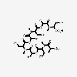 CCCCC(C)C(=O)N(C)C(CC(C)C)C(=O)OC(C(=O)N(C)C(CC(C)C)C(=O)OC(C(=O)N(C)C(CC(C)C)C(=O)OC(C(=O)N(C)C(CC(C)C)C(=O)O)C(C)C)C(C)C)C(C)C